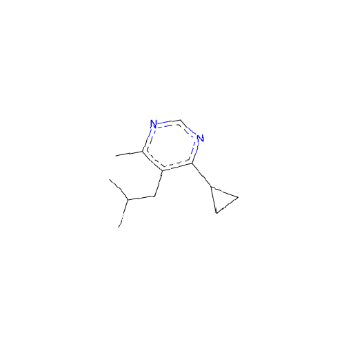 Cc1ncnc(C2CC2)c1CC(C)C